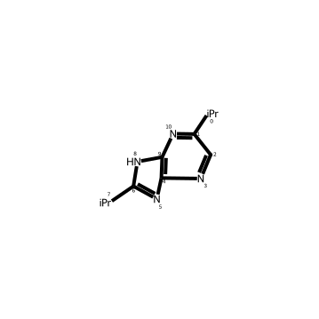 CC(C)c1cnc2nc(C(C)C)[nH]c2n1